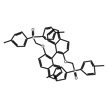 Cc1ccc(P(=O)(COc2ccc3ccccc3c2-c2c(OCP(=O)(c3ccc(C)cc3)c3ccc(C)cc3)ccc3ccccc23)c2ccc(C)cc2)cc1